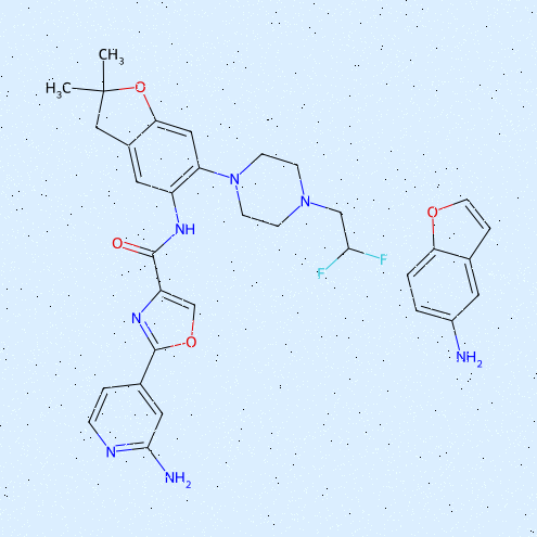 CC1(C)Cc2cc(NC(=O)c3coc(-c4ccnc(N)c4)n3)c(N3CCN(CC(F)F)CC3)cc2O1.Nc1ccc2occc2c1